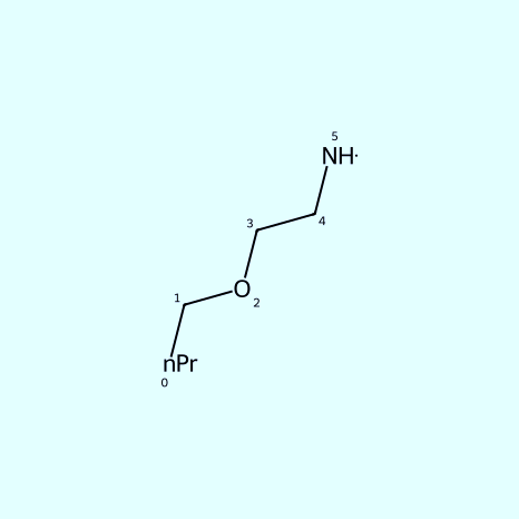 CCCCOCC[NH]